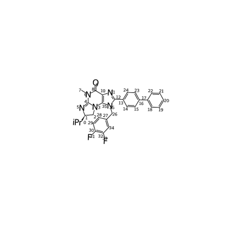 CC(C)[C@@H]1CN2C(=N1)N(C)C(=O)c1nc(-c3ccc(-c4ccccc4)cc3)n(Cc3ccc(F)c(F)c3)c12